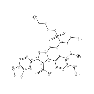 CCCCCS(=O)(=O)N(CCC)CCN1CC(c2ccc3c(c2)OCO3)C(C(=O)O)C1c1ccc(OC)c(OC)c1